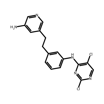 Nc1cncc(CCc2cccc(Nc3nc(Cl)ncc3Cl)c2)c1